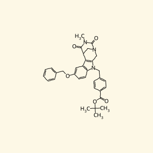 CN1C(=O)C2CN(Cc3c2c2cc(OCc4ccccc4)ccc2n3Cc2ccc(C(=O)OC(C)(C)C)cc2)C1=O